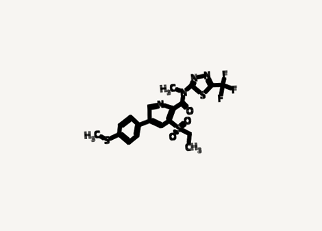 CCS(=O)(=O)c1cc(-c2ccc(SC)cc2)cnc1C(=O)N(C)c1nnc(C(F)(F)F)s1